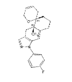 C[C@]12Cc3cnn(-c4ccc(F)cc4)c3C=C1CCC[C@@]21CC=CCO1